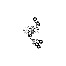 CC(OCc1cn(CCCNC(=O)c2cc3ccccc3c(-c3ccccc3Cl)n2)nn1)[C@H](NC(=O)[C@H](C)N(C)C(=O)OC(C)(C)C)C(=O)N1CCC[C@H]1Cn1nnnc1Sc1ccccc1